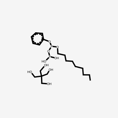 CCCCCCCCCOP(Oc1ccccc1)OP(O)O.OCC(CO)(CO)CO